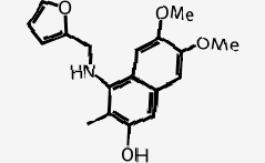 COc1cc2cc(O)c(C)c(NCc3ccco3)c2cc1OC